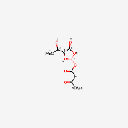 COC(=O)CC(=O)OB1OC(=O)C(C(=O)OC)O1